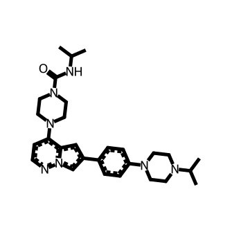 CC(C)NC(=O)N1CCN(c2ccnn3cc(-c4ccc(N5CCN(C(C)C)CC5)cc4)cc23)CC1